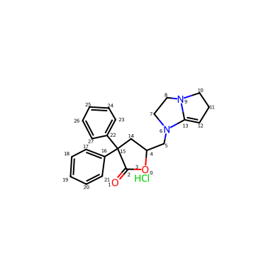 Cl.O=C1OC(CN2CCN3CCC=C32)CC1(c1ccccc1)c1ccccc1